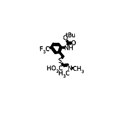 CN(C)C=C(SCc1cc(C(F)(F)F)ccc1NC(=O)OC(C)(C)C)C(=O)O